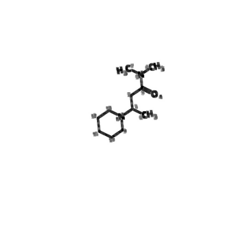 CC(CC(=O)N(C)C)N1CCCCC1